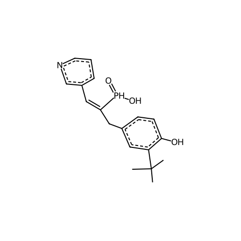 CC(C)(C)c1cc(CC(=Cc2cccnc2)[PH](=O)O)ccc1O